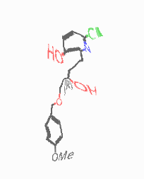 COc1ccc(COC[C@H](O)CCc2nc(Cl)ccc2O)cc1